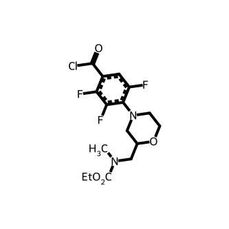 CCOC(=O)N(C)CC1CN(c2c(F)cc(C(=O)Cl)c(F)c2F)CCO1